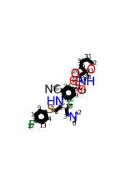 CN(C)CC[C@H](CSc1ccc(F)cc1)Nc1c(F)cc(S(=O)(=O)NC(=O)[C@]2(C)CCCCO2)cc1C#N